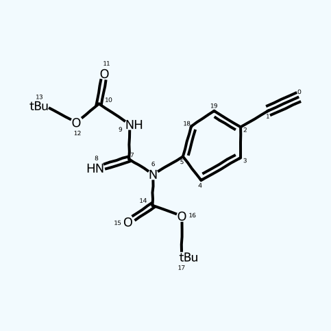 C#Cc1ccc(N(C(=N)NC(=O)OC(C)(C)C)C(=O)OC(C)(C)C)cc1